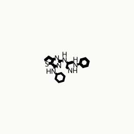 N=C/C(=C\Nc1ccccc1)Nc1nc(NC2CCCCC2)c2sccc2n1